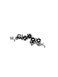 COc1ccccc1Sc1ccc(-c2ccnc(N3CCN(CCCN(C)C)CC3)c2)cc1C(F)(F)F